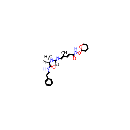 CC\C(=N/C=C(C)/C=C/C(=O)NOC1CCCCO1)N(C)[C@@H](C(=O)NCCc1ccccc1)C(C)C